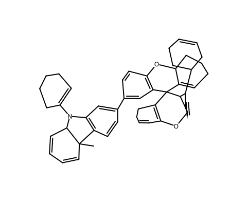 CC12C=CC=CC1N(C1=CCCCC1)c1cc(-c3ccc4c(c3)C3(C5=CCCCC5O4)C4=C(C=CCC4)OC4C=CCC(C5CC=CCC5)C43)ccc12